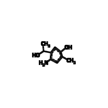 Cc1cc(N)c(C(C)O)cc1O